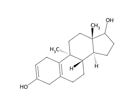 C[C@]12CC[C@]3(C)C(O)CC[C@H]3[C@@H]1CCC1=C2CC=C(O)C1